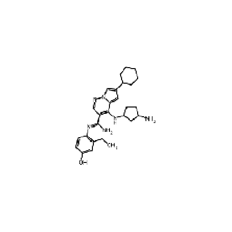 CCc1cc(O)ccc1/N=C(\N)c1cnn2cc(C3CCCCC3)cc2c1NC1CCC(N)C1